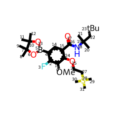 COc1c(F)c(B2OC(C)(C)C(C)(C)O2)cc(C(=O)NC(C)(C)CC(C)(C)C)c1OCCS(C)(C)C